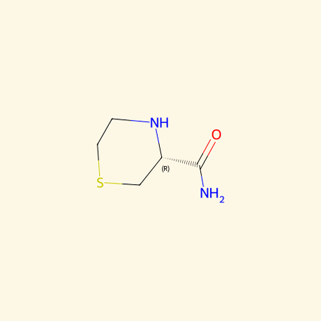 NC(=O)[C@@H]1CSCCN1